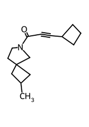 CC1CC2(CCN(C(=O)C#CC3CCC3)C2)C1